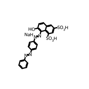 O=S(=O)(O)c1cc(S(=O)(=O)O)c2c(N=Nc3ccc(N=Nc4ccccc4)cc3)c(O)ccc2c1.[NaH]